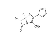 O=C(O)C1=C(n2ccnc2)S[C@@H]2[C@@H](Br)C(=O)N12